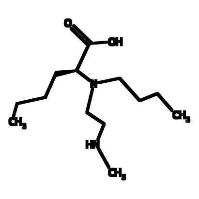 CCCC[C@@H](C(=O)O)N(CCCC)CCNC